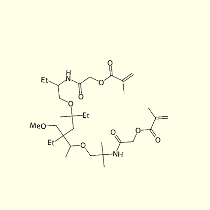 C=C(C)C(=O)OCC(=O)NC(CC)COC(C)(CC)CC(CC)(COC)C(C)OCC(C)(C)NC(=O)COC(=O)C(=C)C